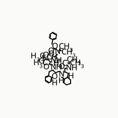 CC(C)N(CC(=O)N[C@H](C(=O)NC(Cc1ccccc1)C(O)CN1C[C@H]2CCCC[C@H]2CC1C(=O)NC(C)(C)C)C(C)(C)S(C)(=O)=O)C(=O)OCc1ccccc1